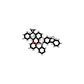 c1ccc(-c2ccccc2N(c2ccc3oc4ccccc4c3c2)c2ccc3c4c(cccc24)C2(CC2)c2ccccc2-3)cc1